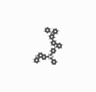 c1ccc(-c2nc(-c3ccc(-n4c5ccccc5c5cc(-c6ccc7c(c6)c6ccccc6n7-c6ccccc6)ccc54)cc3)nc(-c3ccc4c(ccc5oc6ccccc6c54)c3)n2)cc1